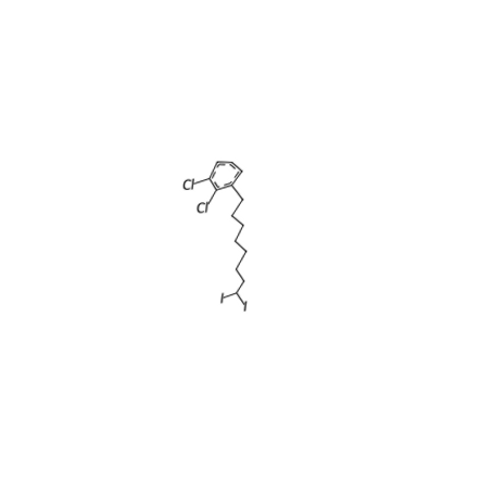 Clc1cccc(CCCCCCCC(I)I)c1Cl